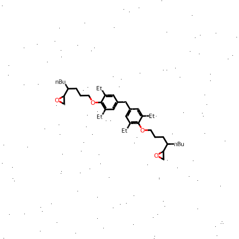 CCCCC(CCCOc1c(CC)cc(Cc2cc(CC)c(OCCCC(CCCC)C3CO3)c(CC)c2)cc1CC)C1CO1